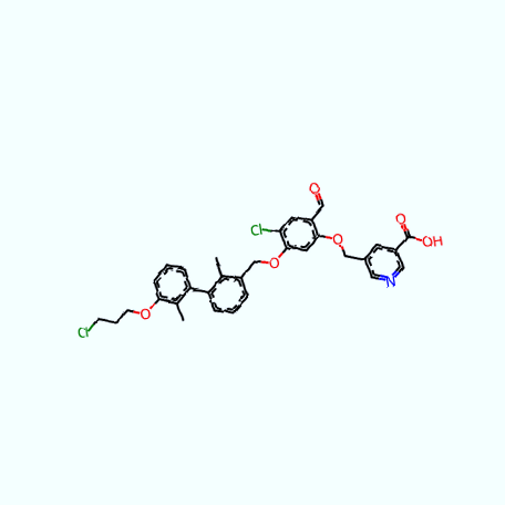 Cc1c(COc2cc(OCc3cncc(C(=O)O)c3)c(C=O)cc2Cl)cccc1-c1cccc(OCCCCl)c1C